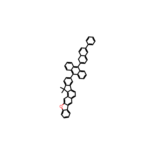 CC1(C)c2ccc(-c3c4ccccc4c(C4=CC=C5C=C(c6ccccc6)C=CC5C4)c4ccccc34)cc2-c2ccc3cc4c(cc3c21)oc1ccccc14